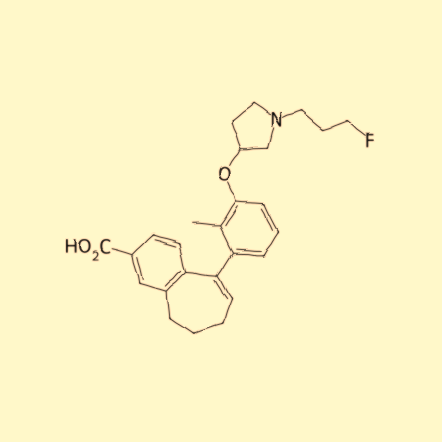 Cc1c(OC2CCN(CCCF)C2)cccc1C1=CCCCc2cc(C(=O)O)ccc21